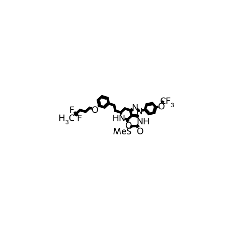 CSCC(=O)Nc1c2c(nn1-c1ccc(OC(F)(F)F)cc1)CC(CCc1cccc(OCCCC(C)(F)F)c1)NC2=O